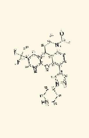 CC(=O)N1c2ccc(-c3cnn(C4CCNCC4)c3)c(Oc3ncc(C(F)(F)F)cn3)c2CC[C@@H]1C